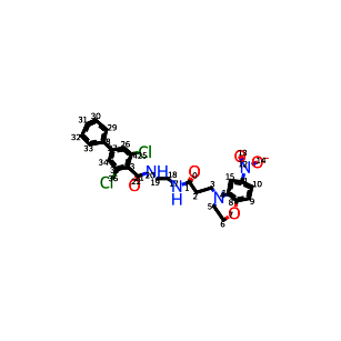 O=C(CCN1CCOc2ccc([N+](=O)[O-])cc21)NCCNC(=O)c1c(Cl)cc(-c2ccccc2)cc1Cl